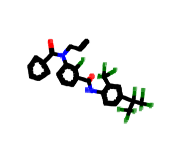 C=CCN(C(=O)c1ccccc1)c1cccc(C(=O)Nc2ccc(C(F)(C(F)(F)F)C(F)(F)F)cc2C(F)(F)F)c1F